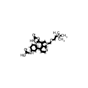 C[Si](C)(C)CCOCn1cc(-c2n[nH]c(=O)o2)c2c(C3=CCCC(NC(=O)O)C3)ccnc21